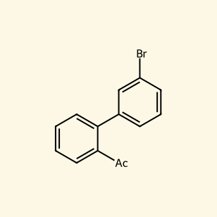 CC(=O)c1ccccc1-c1cccc(Br)c1